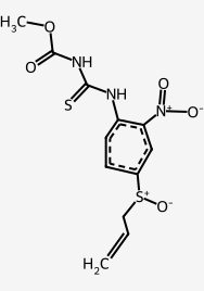 C=CC[S+]([O-])c1ccc(NC(=S)NC(=O)OC)c([N+](=O)[O-])c1